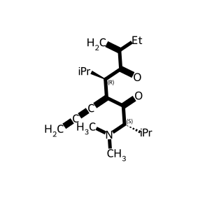 C=C=C=C(C(=O)[C@H](C(C)C)N(C)C)[C@H](C(=O)C(=C)CC)C(C)C